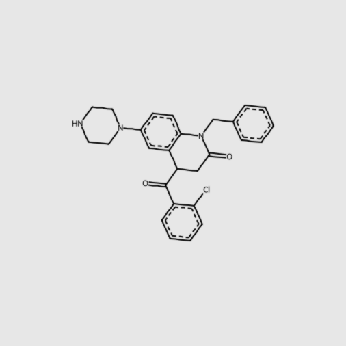 O=C(c1ccccc1Cl)C1CC(=O)N(Cc2ccccc2)c2ccc(N3CCNCC3)cc21